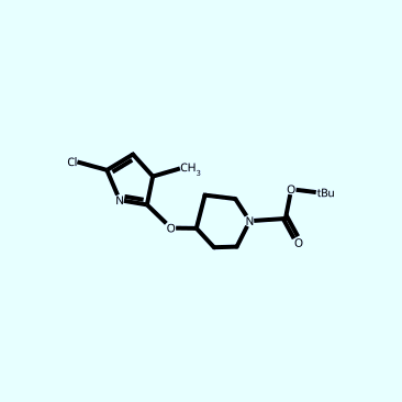 CC1C=C(Cl)N=C1OC1CCN(C(=O)OC(C)(C)C)CC1